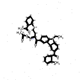 CCn1c2ccc(C(=O)/C(CCSc3ccccc3C(C)=O)=N/OC(C)=O)cc2c2cc(C(=O)c3ccccc3C)ccc21